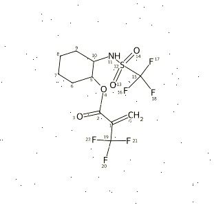 C=C(C(=O)OC1CCCCC1NS(=O)(=O)C(F)(F)F)C(F)(F)F